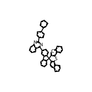 c1ccc(-c2ccc(-c3nc(-c4ccc5c(c4)-c4ccccc4C54c5ccc6ccccc6c5Sc5c4ccc4ccccc54)c4ccccc4n3)cc2)cc1